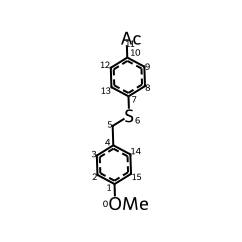 COc1ccc(CSc2ccc(C(C)=O)cc2)cc1